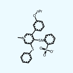 CCCOc1cccc(-c2c[n+](C)cc(Sc3ccccc3)c2SC)c1.O=S(=O)([O-])c1ccccc1